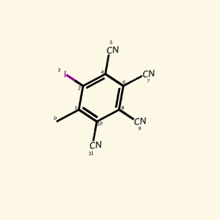 Cc1c(I)c(C#N)c(C#N)c(C#N)c1C#N